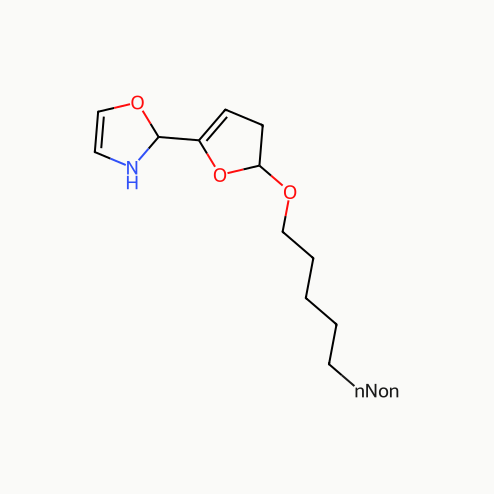 CCCCCCCCCCCCCCOC1CC=C(C2NC=CO2)O1